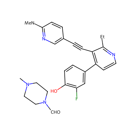 CCc1nccc(-c2ccc(O)c(F)c2)c1C#Cc1ccc(NC)nc1.CN1CCN(C=O)CC1